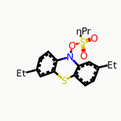 CCCS(=O)(=O)ON1c2ccc(CC)cc2Sc2ccc(CC)cc21